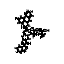 O=C(CN1CCC(NS(=O)(=O)c2ccccc2F)CC1)NCC(Cc1cccnc1)c1ccc(F)cc1.O=C(O)C(F)(F)F.O=C(O)C(F)(F)F